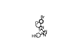 Brc1ccc2c(c1)OCCc1sc(-c3ncnn3C3CCNCC3)nc1-2